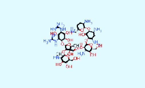 CN[C@@H]1[C@H](O[C@H]2[C@H](O[C@H]3[C@H](O)[C@@H](O)[C@H](NC(=N)N)[C@@H](O)[C@@H]3NC(=N)N)O[C@@H](C)[C@]2(O)CO)O[C@@H](CO)[C@H](O)[C@H]1O.NC[C@@H]1CC[C@@H](N)[C@@H](O[C@H]2[C@H](O)[C@@H](O[C@H]3O[C@H](CO)[C@@H](O)[C@H](N)[C@H]3O)[C@H](N)C[C@@H]2N)O1